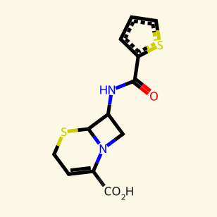 O=C(O)C1=CCSC2C(NC(=O)c3cccs3)CN12